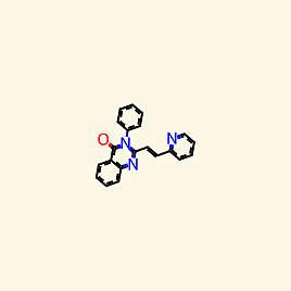 O=c1c2ccccc2nc(C=Cc2ccccn2)n1-c1ccccc1